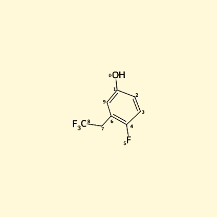 Oc1ccc(F)c(CC(F)(F)F)c1